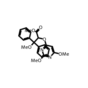 COC(=O)C(Oc1cc(OC)nc(OC)n1)C(OC)(c1ccccc1)c1ccccc1